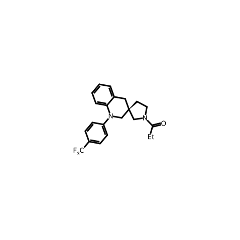 CCC(=O)N1CC[C@@]2(Cc3ccccc3N(c3ccc(C(F)(F)F)cc3)C2)C1